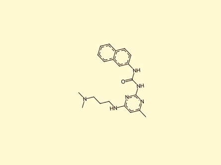 Cc1cc(NCCCN(C)C)nc(NC(=O)Nc2ccc3ccccc3c2)n1